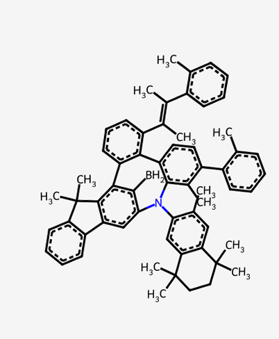 Bc1c2cc3c(c1-c1cccc(/C(C)=C(\C)c4ccccc4C)c1-c1ccc(-c4ccccc4C)c(C)c1N2c1cc2c(cc1C)C(C)(C)CCC2(C)C)C(C)(C)c1ccccc1-3